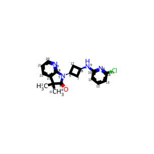 CC1(C)C(=O)N([C@H]2C[C@H](Nc3cccc(Cl)n3)C2)c2ncccc21